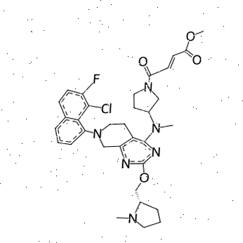 COC(=O)/C=C/C(=O)N1CCC(N(C)c2nc(OC[C@@H]3CCCN3C)nc3c2CCN(c2cccc4ccc(F)c(Cl)c24)C3)C1